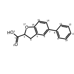 O=C(O)C1Cc2cc(-c3ccccc3)ccc2O1